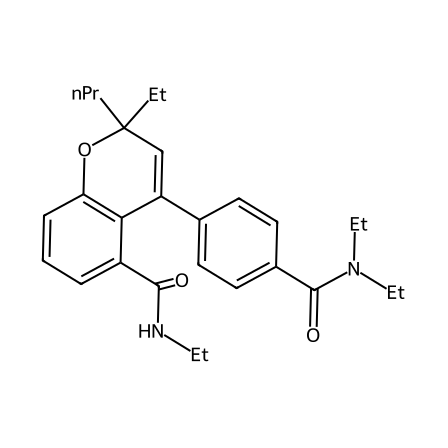 CCCC1(CC)C=C(c2ccc(C(=O)N(CC)CC)cc2)c2c(cccc2C(=O)NCC)O1